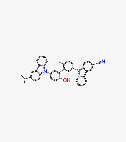 Cc1ccc(-n2c3ccccc3c3cc(C#N)ccc32)cc1-c1cc(-n2c3ccccc3c3cc(C(C)C)ccc32)ccc1O